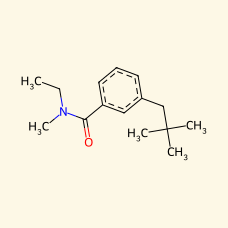 CCN(C)C(=O)c1cccc(CC(C)(C)C)c1